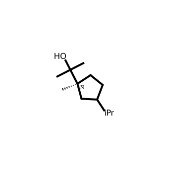 CC(C)C1CC[C@](C)(C(C)(C)O)C1